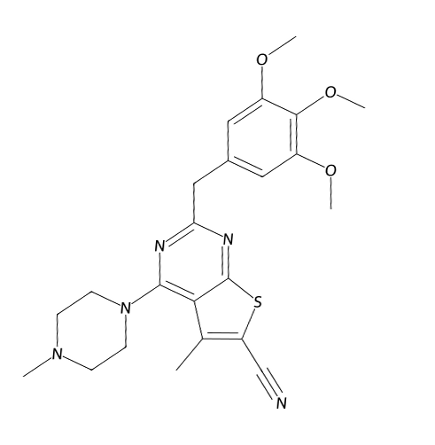 COc1cc(Cc2nc(N3CCN(C)CC3)c3c(C)c(C#N)sc3n2)cc(OC)c1OC